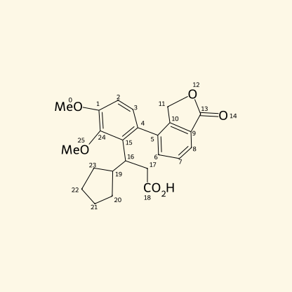 COc1ccc(-c2cccc3c2COC3=O)c(C(CC(=O)O)C2CCCC2)c1OC